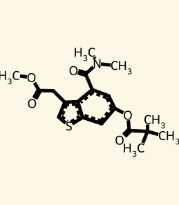 COC(=O)Cc1csc2cc(OC(=O)C(C)(C)C)cc(C(=O)N(C)C)c12